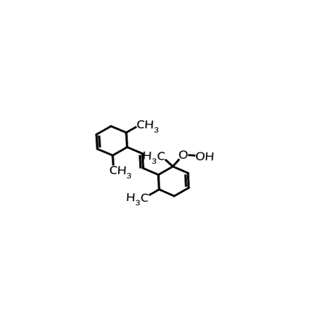 CC1C=CCC(C)C1C=CC1C(C)CC=CC1(C)OO